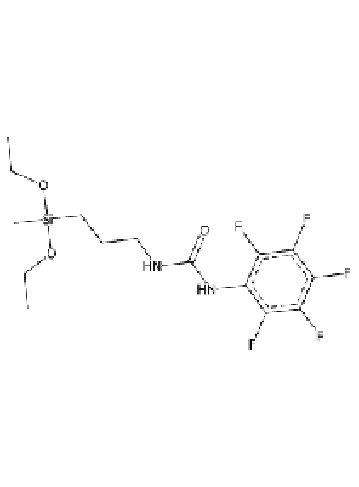 CCO[Si](C)(CCCNC(=O)Nc1c(F)c(F)c(F)c(F)c1F)OCC